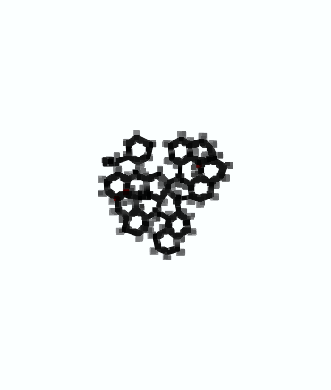 CC(C)(C)c1ccccc1N(c1cc2c3c(c1)N(c1cccc4ccccc14)c1c(ccc4ccccc14)B3c1ccc3ccccc3c1N2c1cccc2ccccc12)c1ccccc1C(C)(C)C